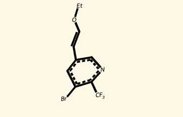 CCO/C=C/c1cnc(C(F)(F)F)c(Br)c1